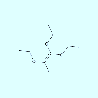 CCOC(C)=C(OCC)OCC